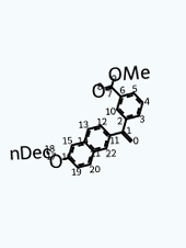 C=C(c1cccc(C(=O)OC)c1)c1ccc2cc(OCCCCCCCCCC)ccc2c1